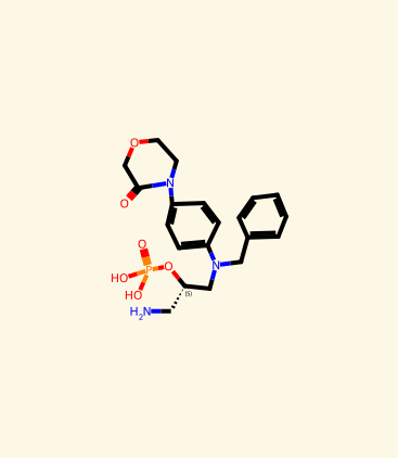 NC[C@@H](CN(Cc1ccccc1)c1ccc(N2CCOCC2=O)cc1)OP(=O)(O)O